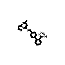 Cc1cc(SCc2ccc(-c3ccccc3-c3nnn[nH]3)cc2)n2nccc2n1